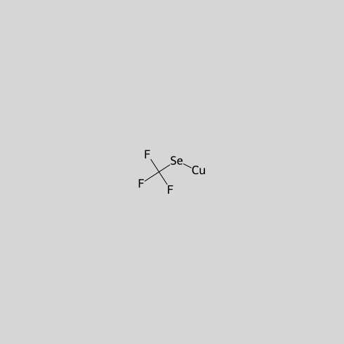 FC(F)(F)[Se][Cu]